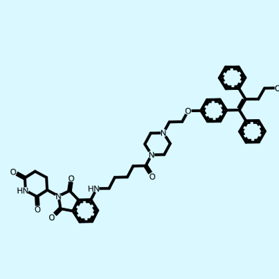 O=C1CCC(N2C(=O)c3cccc(NCCCCC(=O)N4CCN(CCOc5ccc(C(=C(CCCl)c6ccccc6)c6ccccc6)cc5)CC4)c3C2=O)C(=O)N1